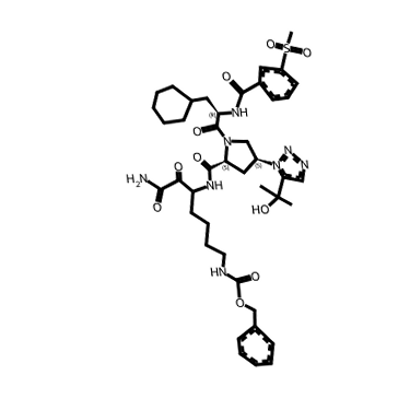 CC(C)(O)c1cnnn1[C@H]1C[C@@H](C(=O)NC(CCCCNC(=O)OCc2ccccc2)C(=O)C(N)=O)N(C(=O)[C@@H](CC2CCCCC2)NC(=O)c2cccc(S(C)(=O)=O)c2)C1